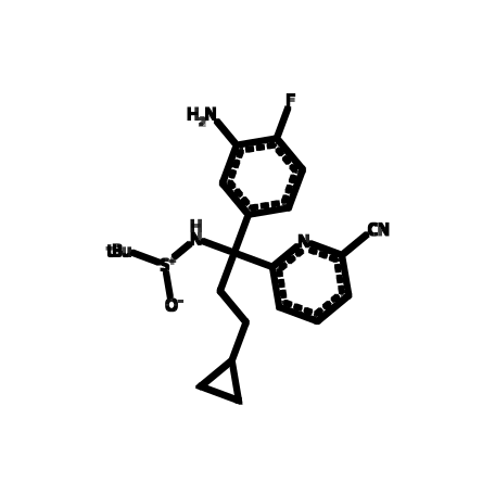 CC(C)(C)[S+]([O-])NC(CCC1CC1)(c1ccc(F)c(N)c1)c1cccc(C#N)n1